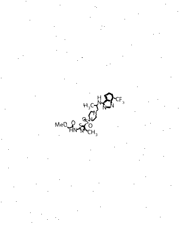 COCC(=O)Nc1nc(C)c(S(=O)(=O)N2CCN(CC(C)Nc3ncnc4c(C(F)(F)F)cccc34)CC2)s1